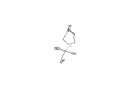 OC(O)(O)[C@H]1CCNC1